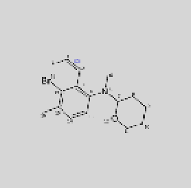 C/C=C\c1c(N(C)C2CCCCO2)ccc(C)c1Br